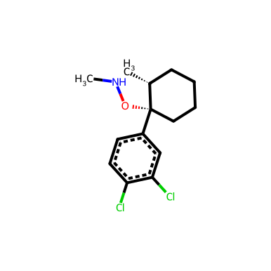 CNO[C@@]1(c2ccc(Cl)c(Cl)c2)CCCC[C@H]1C